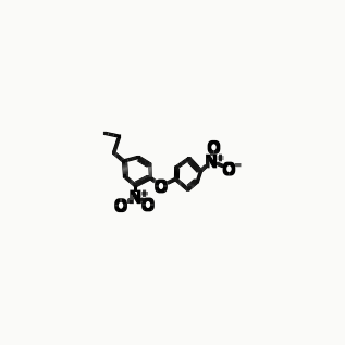 CCCc1ccc(Oc2ccc([N+](=O)[O-])cc2)c([N+](=O)[O-])c1